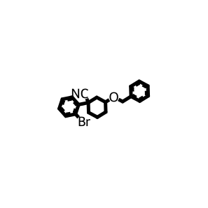 N#CC1(c2ccccc2Br)CCCC(OCc2ccccc2)C1